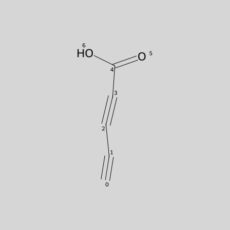 C#CC#CC(=O)O